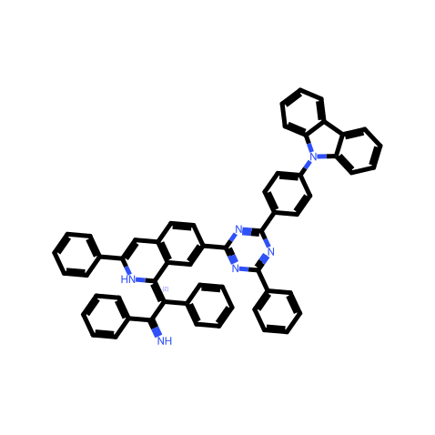 N=C(/C(=C1\NC(c2ccccc2)=Cc2ccc(-c3nc(-c4ccccc4)nc(-c4ccc(-n5c6ccccc6c6ccccc65)cc4)n3)cc21)c1ccccc1)c1ccccc1